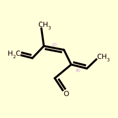 C=C/C(C)=C\C(C=O)=C/C